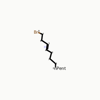 CCCCCCCC/C=C/CCBr